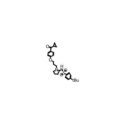 CC(C)(C)c1ccc(S(=O)(=O)NC2CCCN2CCCOc2ccc(C(=O)C3CC3)cc2)cc1